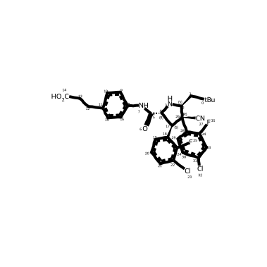 CC(C)(C)C[C@@H]1N[C@@H](C(=O)Nc2ccc(CCC(=O)O)cc2)[C@H](c2cccc(Cl)c2F)[C@@]1(C#N)c1ccc(Cl)cc1F